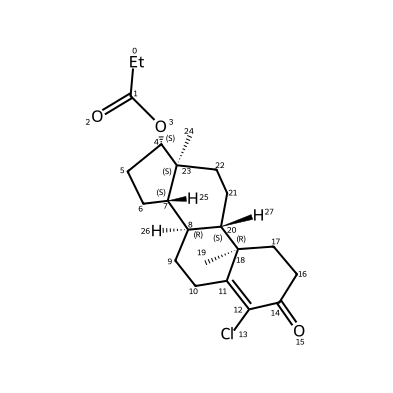 CCC(=O)O[C@H]1CC[C@H]2[C@@H]3CCC4=C(Cl)C(=O)CC[C@]4(C)[C@H]3CC[C@]12C